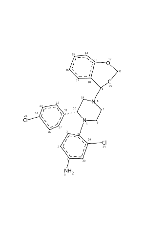 Nc1ccc(N2CCN(C3CCOc4ccccc43)C[C@H]2c2ccc(Cl)cc2)c(Cl)c1